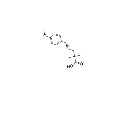 COc1ccc(/C=C/CC(C)(C)C(=O)O)cc1